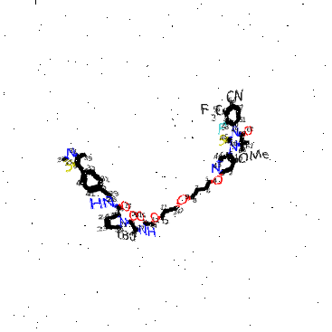 COc1cc(OCCCCOCCCOCC(=O)NC(C(=O)N2CCC[C@H]2C(=O)NCc2ccc(-c3scnc3C)cc2)C(C)(C)C)ncc1N1C(=S)N(c2ccc(C#N)c(C(F)(F)F)c2F)C(=O)C1(C)C